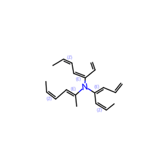 C=C/C=C(\C=C/C)N(/C(C)=C/C=C\C)/C(C=C)=C/C=C\C